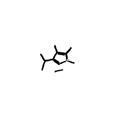 CC.Cc1c(C(C)C)cn(C)c1C